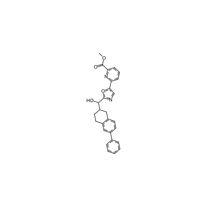 COC(=O)c1cccc(-c2cnc(C(O)C3CCc4cc(-c5ccccc5)ccc4C3)o2)n1